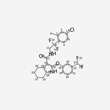 Cc1cc(Cl)ccc1C(F)(F)CNC(=O)c1c(Oc2cccc(C(F)F)c2)[nH]c2c1CCCC2